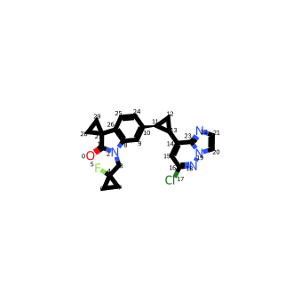 O=C1N(CC2(F)CC2)c2cc([C@H]3CC3c3cc(Cl)nn4ccnc34)ccc2C12CC2